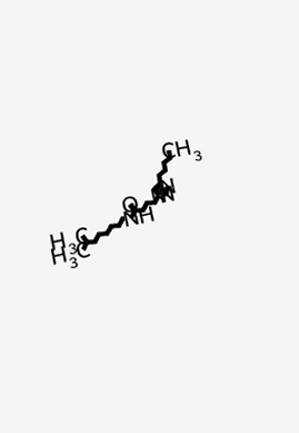 CCCCCc1cn(CCCC(=O)NCCCCCCC(C)C)nn1